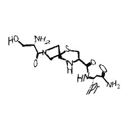 CC(C)[C@H](NC(=O)C1CSC2(CN(C(=O)[C@@H](N)CO)C2)N1)C(N)=O